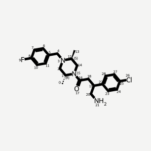 C[C@@H]1CN(Cc2ccc(F)cc2)[C@@H](C)CN1C(=O)CC(CN)c1ccc(Cl)cc1